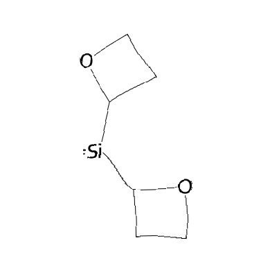 C1CC([Si]C2CCO2)O1